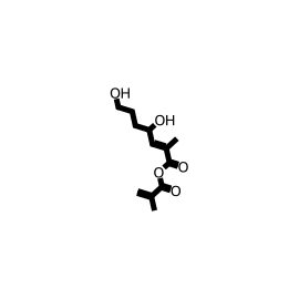 C=C(C)C(=O)OC(=O)C(C)=CC(O)CCCO